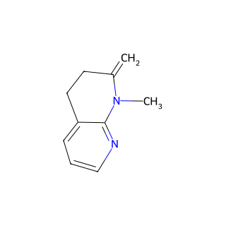 C=C1CCc2cccnc2N1C